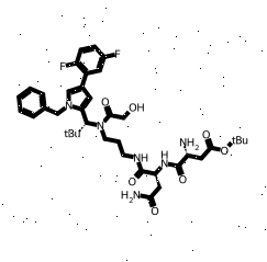 CC(C)(C)OC(=O)C[C@@H](N)C(=O)N[C@@H](CC(N)=O)C(=O)NCCCN(C(=O)CO)[C@@H](c1cc(-c2cc(F)ccc2F)cn1Cc1ccccc1)C(C)(C)C